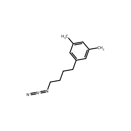 Cc1cc(C)cc(CCCCN=[N+]=[N-])c1